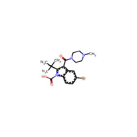 CN1CCN(C(=O)c2c(C(C)(C)C)n(C(=O)O)c3ccc(Br)cc23)CC1